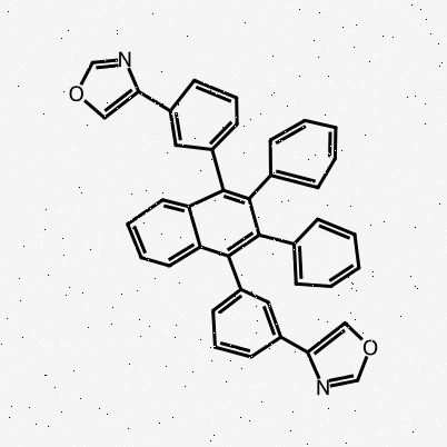 c1ccc(-c2c(-c3ccccc3)c(-c3cccc(-c4cocn4)c3)c3ccccc3c2-c2cccc(-c3cocn3)c2)cc1